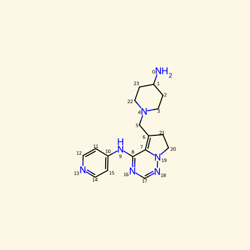 NC1CCN(CC2=C3C(Nc4ccncc4)=NC=NN3CC2)CC1